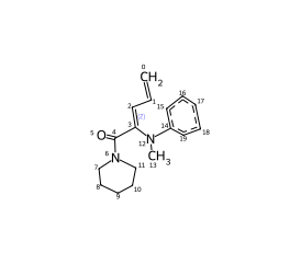 C=C/C=C(/C(=O)N1CCCCC1)N(C)c1ccccc1